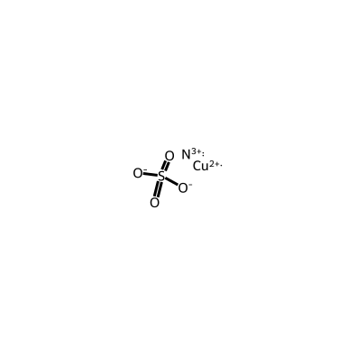 O=S(=O)([O-])[O-].[Cu+2].[N+3]